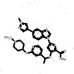 COC(=O)c1sc(-n2cnc3cc(-c4cnn(C)c4)ccc32)cc1OC(C)c1ccnc(OC2CCN(C(=O)O)CC2)c1